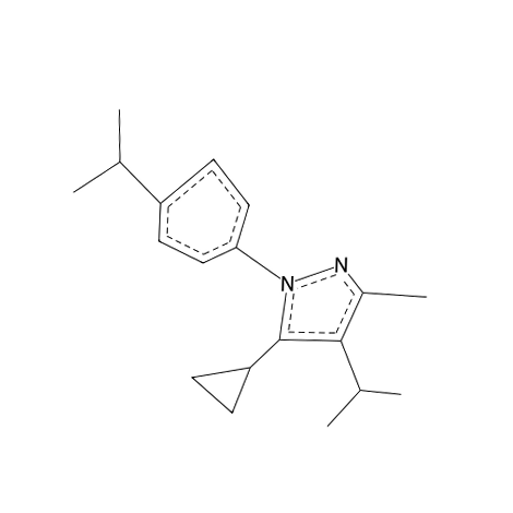 Cc1nn(-c2ccc(C(C)C)cc2)c(C2CC2)c1C(C)C